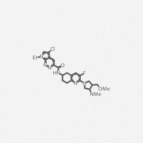 CCn1cc(Cl)c2cc(C(=O)NC3CCc4nc(N5CC(COC)C(NC)C5)c(F)cc4C3)nnc21